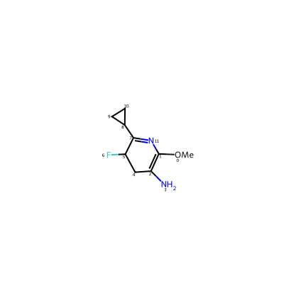 COC1=C(N)CC(F)C(C2CC2)=N1